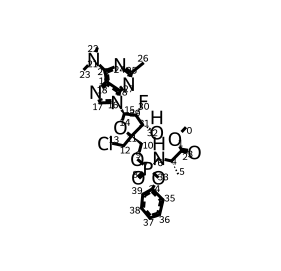 COC(=O)[C@H](C)N[P@@](=O)(OC[C@@]1(CCl)O[C@@H](n2cnc3c(N(C)C)nc(C)nc32)[C@H](F)[C@@H]1O)Oc1ccccc1